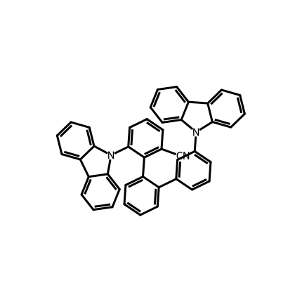 N#Cc1cccc(-n2c3ccccc3c3ccccc32)c1-c1ccccc1-c1cccc(-n2c3ccccc3c3ccccc32)c1